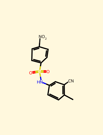 Cc1ccc(NS(=O)(=O)c2ccc([N+](=O)[O-])cc2)cc1C#N